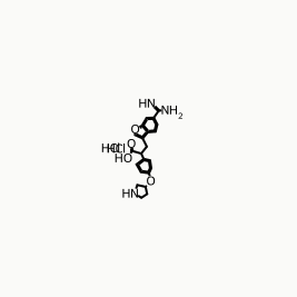 Cl.Cl.N=C(N)c1ccc2c(CC(C(=O)O)c3ccc(O[C@H]4CCNC4)cc3)coc2c1